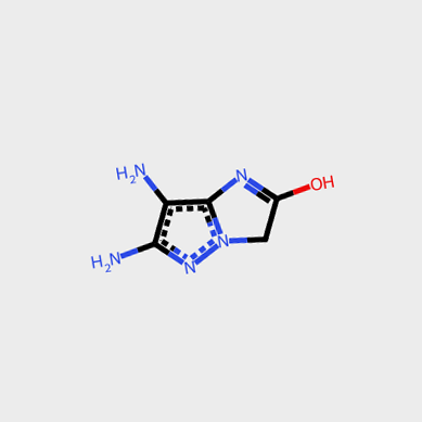 Nc1nn2c(c1N)N=C(O)C2